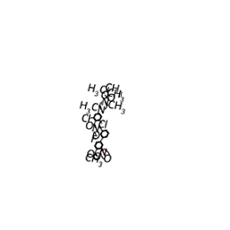 COC(=O)c1cc(F)c(-c2cccc3c2OCN(C(=O)c2c(Cl)cc(N4C[C@H](C)N(C(=O)OC(C)(C)C)C[C@@H]4C)cc2Cl)C3)cc1N1C2CCC1COC2